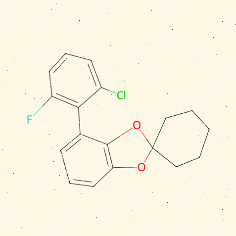 Fc1cccc(Cl)c1-c1cccc2c1OC1(CCCCC1)O2